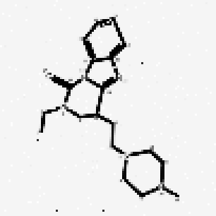 CCN1CC(CCN2CCN(C)CC2)c2nc3ccccc3n2C1=O